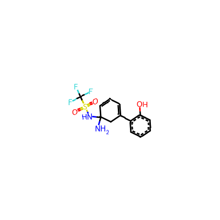 NC1(NS(=O)(=O)C(F)(F)F)C=CC=C(c2ccccc2O)C1